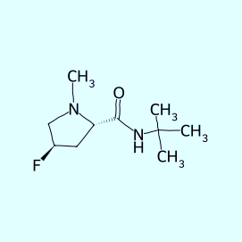 CN1C[C@H](F)C[C@H]1C(=O)NC(C)(C)C